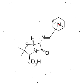 CC1(C)S[C@@H]2[C@H](/N=C/N3CC4CCC(CC4)C3)C(=O)N2[C@H]1C(=O)O